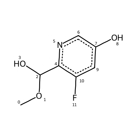 COC(O)c1ncc(O)cc1F